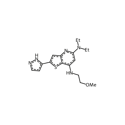 CCN(CC)c1cc(NCCOC)c2sc(-c3ccn[nH]3)cc2n1